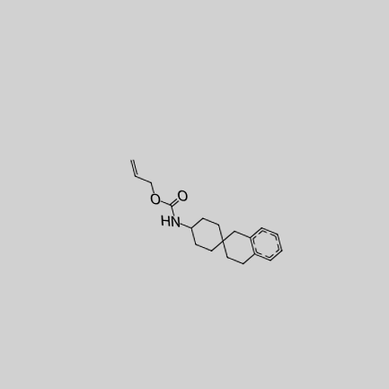 C=CCOC(=O)NC1CCC2(CCc3ccccc3C2)CC1